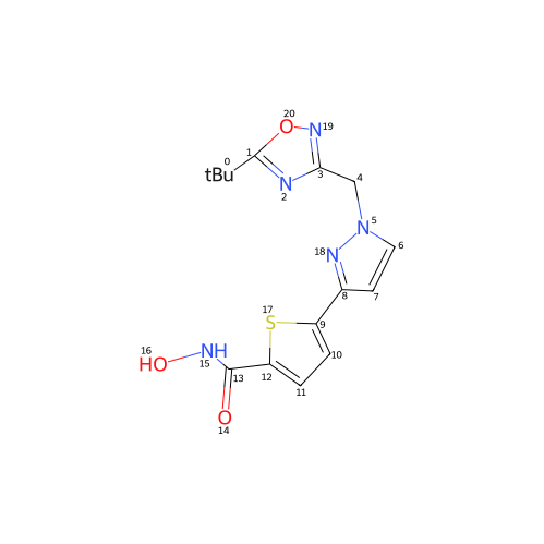 CC(C)(C)c1nc(Cn2ccc(-c3ccc(C(=O)NO)s3)n2)no1